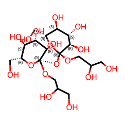 OCC(O)CO[C@@]1(O[C@]2(OCC(O)CO)O[C@H](CO)[C@@H](O)[C@H](O)[C@H]2O)O[C@H](CO)[C@@H](O)[C@H](O)[C@H]1O